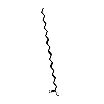 CCCCCCCC/C=C/C/C=C/C/C=C/C/C=C/CCC(=O)O